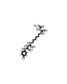 N=C(NCCCCCCNC(=N)NC(N)=O)NC(=N)Nc1ccc(Cl)cc1